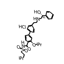 CC(C)CCS(=O)(=O)NC(=O)c1ccc(-c2ccc(CCNC[C@H](O)c3ccccc3)cc2)cc1OC(C)C.Cl